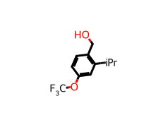 CC(C)c1cc(OC(F)(F)F)ccc1CO